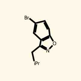 CC(C)Cc1noc2ccc(Br)cc12